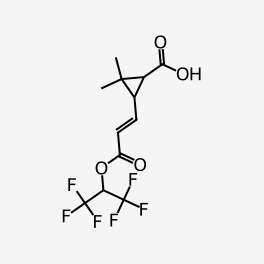 CC1(C)C(/C=C/C(=O)OC(C(F)(F)F)C(F)(F)F)C1C(=O)O